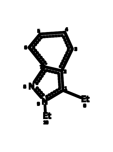 CCc1c2ccccc2nn1CC